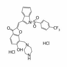 Cl.Cl.O=C1/C(=C/c2cn(S(=O)(=O)c3ccc(C(F)(F)F)cc3)c3ccccc23)Oc2c1ccc(O)c2CN1CCNCC1